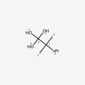 CCCC(I)(I)C(O)(O)O